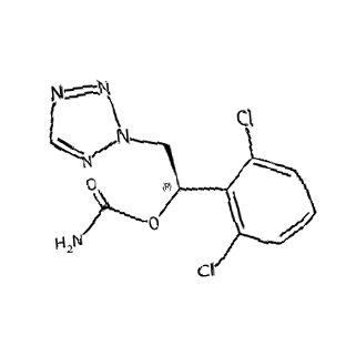 NC(=O)O[C@@H](Cn1ncnn1)c1c(Cl)cccc1Cl